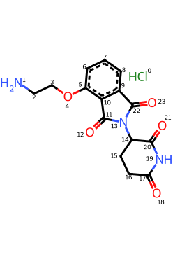 Cl.NCCOc1cccc2c1C(=O)N(C1CCC(=O)NC1=O)C2=O